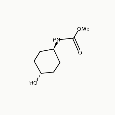 COC(=O)N[C@H]1CC[C@H](O)CC1